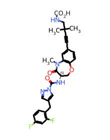 CN1C(=O)[C@@H](NC(=O)n2cc(Cc3ccc(F)cc3F)cn2)COc2ccc(C#CC(C)(C)CNC(=O)O)cc21